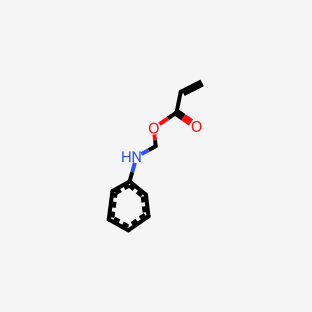 C=CC(=O)OCNc1ccccc1